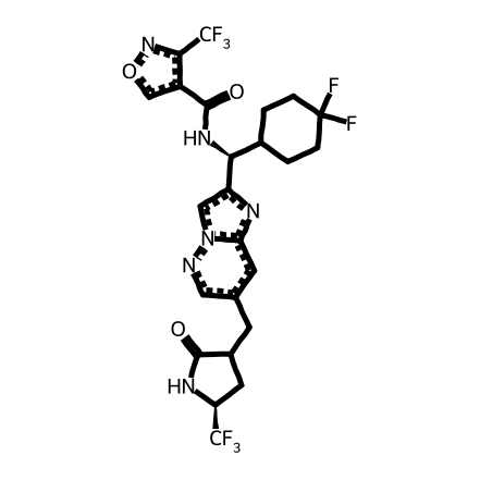 O=C(N[C@H](c1cn2ncc(CC3C[C@@H](C(F)(F)F)NC3=O)cc2n1)C1CCC(F)(F)CC1)c1conc1C(F)(F)F